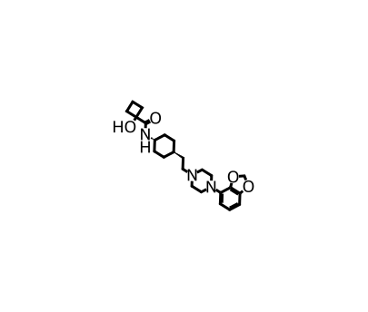 O=C(N[C@H]1CC[C@H](CCN2CCN(c3cccc4c3OCO4)CC2)CC1)C1(O)CCC1